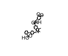 COc1ccc(CNC(=O)c2ccc3c(c2)c(C)c(C)n3Cc2ccc(-c3ccccc3C(=O)O)cc2)cc1OC